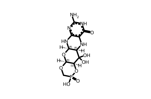 Nc1nc2c(c(=O)[nH]1)N[C@@H]1[C@H](N2)O[C@@H]2OCP(=O)(O)O[C@@H]2C1(O)O